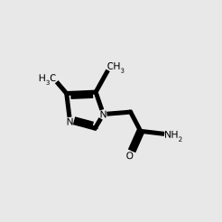 Cc1n[c]n(CC(N)=O)c1C